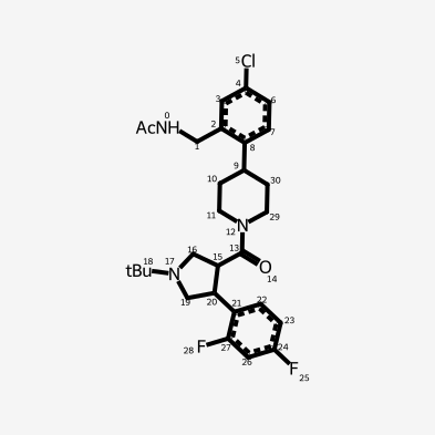 CC(=O)NCc1cc(Cl)ccc1C1CCN(C(=O)C2CN(C(C)(C)C)CC2c2ccc(F)cc2F)CC1